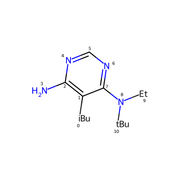 CCC(C)c1c(N)ncnc1N(CC)C(C)(C)C